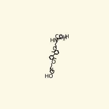 Cc1c(OCCCN[C@@H](CO)C(=O)O)cccc1-c1cccc(OCCCN2CCC(O)C2)c1C